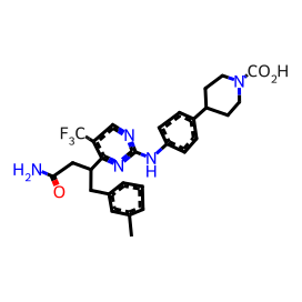 Cc1cccc(CC(CC(N)=O)c2nc(Nc3ccc(C4CCN(C(=O)O)CC4)cc3)ncc2C(F)(F)F)c1